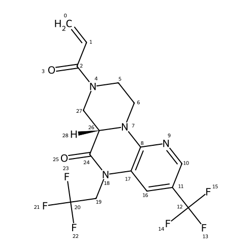 C=CC(=O)N1CCN2c3ncc(C(F)(F)F)cc3N(CC(F)(F)F)C(=O)[C@@H]2C1